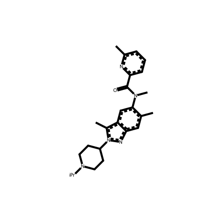 Cc1cccc(C(=O)N(C)c2cc3c(C)n(C4CCN(C(C)C)CC4)nc3cc2C)n1